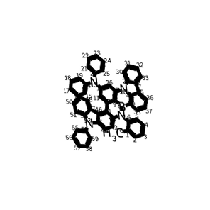 Cc1ccccc1N1B2c3c(cc(N(c4ccccc4)c4ccccc4)cc3-n3c4ccccc4c4cccc2c43)-c2c1ccc1c2c2ccccc2n1-c1ccccc1